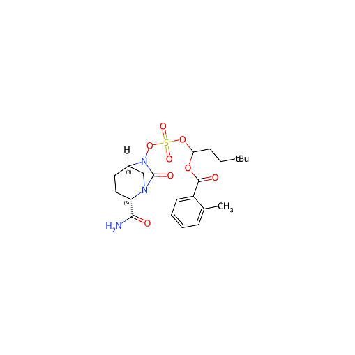 Cc1ccccc1C(=O)OC(CCC(C)(C)C)OS(=O)(=O)ON1C(=O)N2C[C@H]1CC[C@H]2C(N)=O